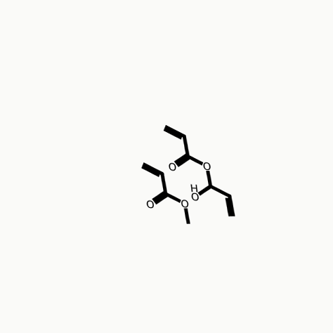 C=CC(=O)OC.C=CC(=O)OC(O)C=C